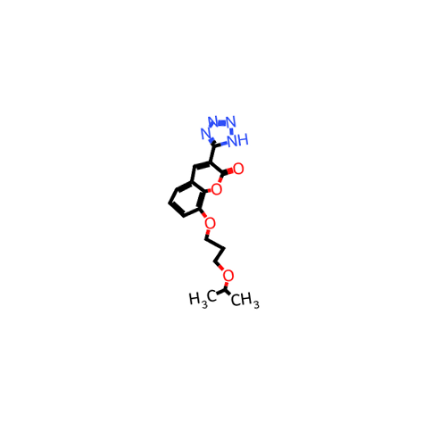 CC(C)OCCCOc1cccc2cc(-c3nnn[nH]3)c(=O)oc12